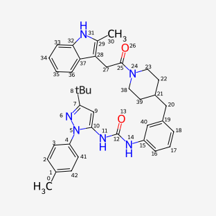 Cc1ccc(-n2nc(C(C)(C)C)cc2NC(=O)Nc2cccc(CC3CCN(C(=O)Cc4c(C)[nH]c5ccccc45)CC3)c2)cc1